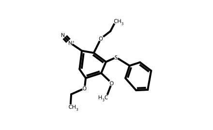 CCOc1cc([N+]#N)c(OCC)c(Sc2ccccc2)c1OC